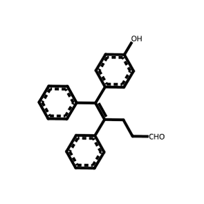 O=CCCC(=C(c1ccccc1)c1ccc(O)cc1)c1ccccc1